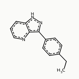 CCc1ccc(-c2n[nH]c3cccnc23)cc1